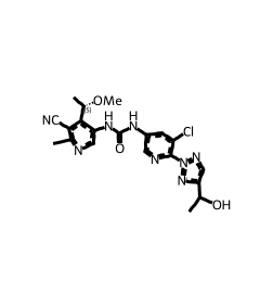 CO[C@@H](C)c1c(NC(=O)Nc2cnc(-n3ncc(C(C)O)n3)c(Cl)c2)cnc(C)c1C#N